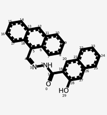 O=C(N/N=C\c1c2ccccc2cc2ccccc12)c1cc2ccccc2cc1O